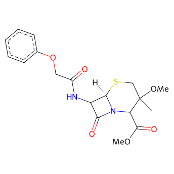 COC(=O)C1N2C(=O)C(NC(=O)COc3ccccc3)[C@H]2SCC1(C)OC